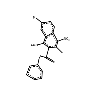 COc1c(C(=O)Oc2ccccc2)c(C)c([N+](=O)[O-])c2ccc(Br)cc12